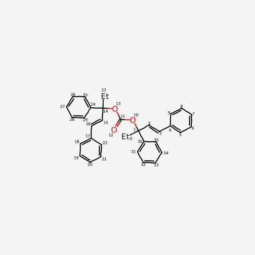 CCC(/C=C/c1ccccc1)(OC(=O)OC(/C=C/c1ccccc1)(CC)c1ccccc1)c1ccccc1